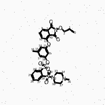 CCCON1C(=O)c2cccc(Oc3cc(C)cc(OS(=O)(=O)c4ccccc4S(=O)(=O)N4CCN(C)CC4)c3)c2C1=O